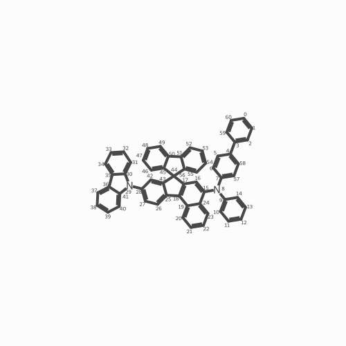 c1ccc(-c2ccc(N(c3ccccc3)c3cc4c(c5ccccc35)-c3ccc(-n5c6ccccc6c6ccccc65)cc3C43c4ccccc4-c4ccccc43)cc2)cc1